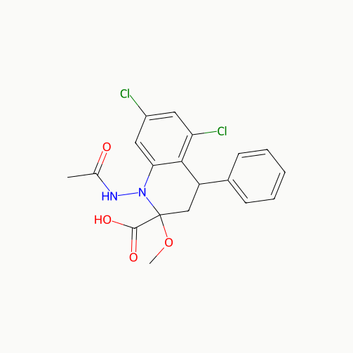 COC1(C(=O)O)CC(c2ccccc2)c2c(Cl)cc(Cl)cc2N1NC(C)=O